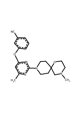 Cc1cc(Oc2cccc(C#N)c2)nc(N2CCC3(CC2)CN(C)CCO3)n1